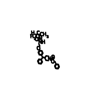 CC(C)(C)OC(=O)NCCOc1ccc(C(=C2CCN(C(=O)OCc3ccccc3)CC2)c2ccccc2)cc1